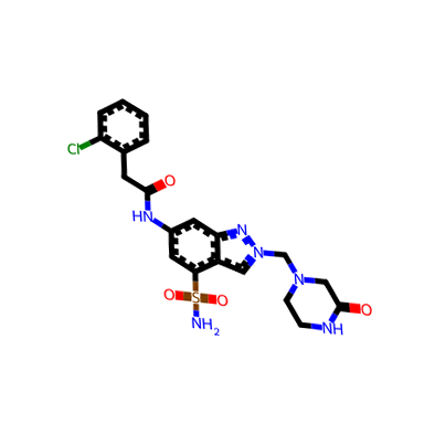 NS(=O)(=O)c1cc(NC(=O)Cc2ccccc2Cl)cc2nn(CN3CCNC(=O)C3)cc12